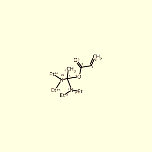 C=CC(=O)OC(C)(N(CC)CC)N(CC)CC